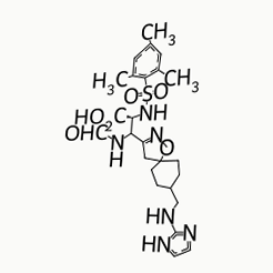 Cc1cc(C)c(S(=O)(=O)N[C@H](C(=O)O)C(NC=O)C2=NOC3(CCC(CNc4ncc[nH]4)CC3)C2)c(C)c1